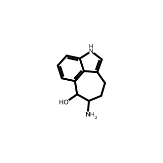 NC1CCc2c[nH]c3cccc(c23)C1O